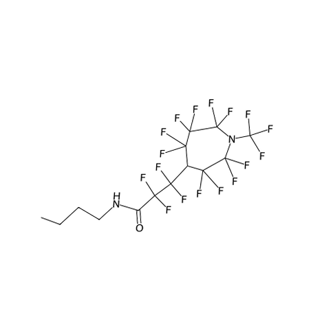 CCCCNC(=O)C(F)(F)C(F)(F)C1C(F)(F)C(F)(F)N(C(F)(F)F)C(F)(F)C(F)(F)C1(F)F